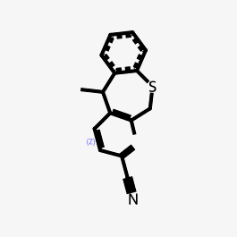 C=C(C#N)/C=C\C1=C(C)CSc2ccccc2C1C